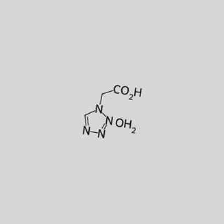 O.O=C(O)Cn1cnnn1